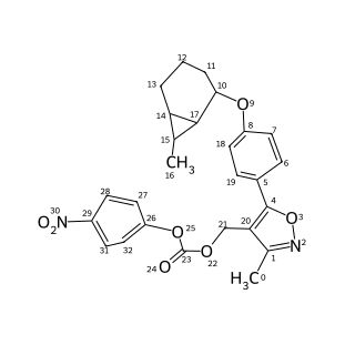 Cc1noc(-c2ccc(OC3CCCC4C(C)C34)cc2)c1COC(=O)Oc1ccc([N+](=O)[O-])cc1